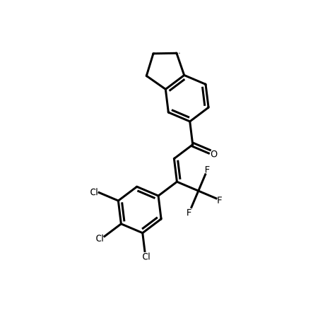 O=C(C=C(c1cc(Cl)c(Cl)c(Cl)c1)C(F)(F)F)c1ccc2c(c1)CC[CH]2